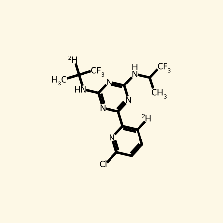 [2H]c1ccc(Cl)nc1-c1nc(NC(C)C(F)(F)F)nc(NC([2H])(C)C(F)(F)F)n1